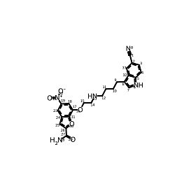 N#Cc1ccc2[nH]cc(CCCCNCCOc3cc([N+](=O)[O-])cc4cc(C(N)=O)oc34)c2c1